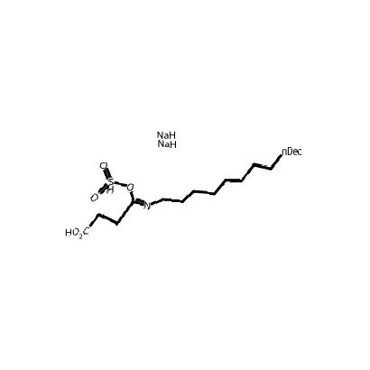 CCCCCCCCCCCCCCCCCCN=C(CCC(=O)O)O[SH](=O)=O.[NaH].[NaH]